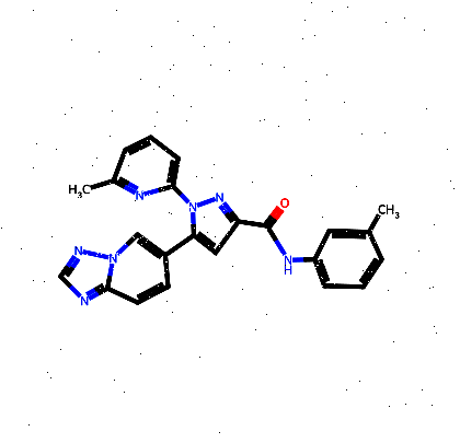 Cc1cccc(NC(=O)c2cc(-c3ccc4ncnn4c3)n(-c3cccc(C)n3)n2)c1